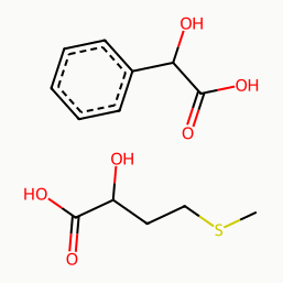 CSCCC(O)C(=O)O.O=C(O)C(O)c1ccccc1